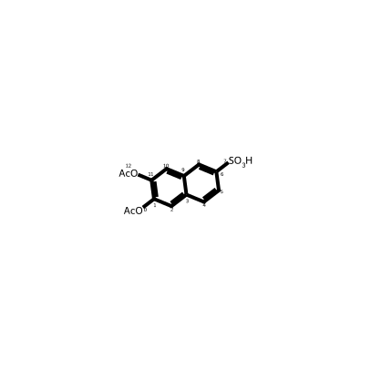 CC(=O)Oc1cc2ccc(S(=O)(=O)O)cc2cc1OC(C)=O